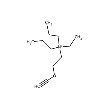 C#COCC[N+](CC)(CCC)CCC